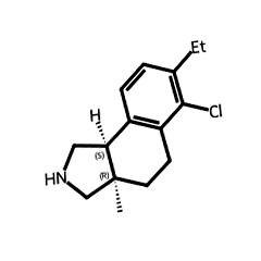 CCc1ccc2c(c1Cl)CC[C@@]1(C)CNC[C@@H]21